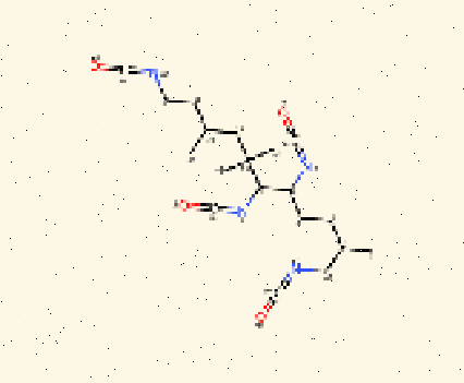 CC(CCC(N=C=O)C(N=C=O)C(C)(C)CC(C)CCN=C=O)CN=C=O